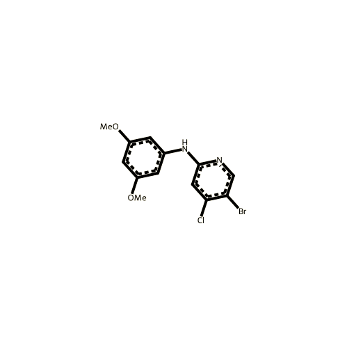 COc1cc(Nc2cc(Cl)c(Br)cn2)cc(OC)c1